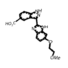 COCCOc1ccc2nc(-c3n[nH]c4ccc(C(=O)O)cc34)[nH]c2c1